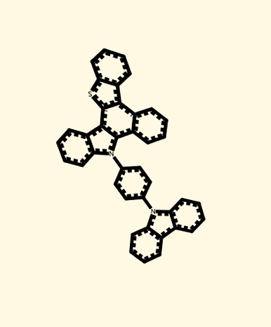 c1ccc2c(c1)sc1c2c2ccccc2c2c1c1ccccc1n2-c1ccc(-n2c3ccccc3c3ccccc32)cc1